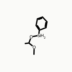 COC(C)O[SiH2]c1ccccc1